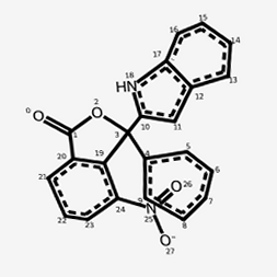 O=C1OC(c2ccccc2)(c2cc3ccccc3[nH]2)c2c1cccc2[N+](=O)[O-]